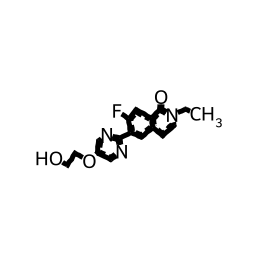 CCn1ccc2cc(-c3ncc(OCCO)cn3)c(F)cc2c1=O